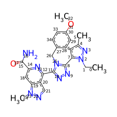 CCn1nc(C)cc1-c1nnc(-c2nc(C(N)=O)cc3c2cnn3C)n1Cc1ccc(OC)cc1